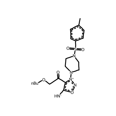 CCCCOCC(=O)c1c([NH-])on[n+]1N1CCN(S(=O)(=O)c2ccc(C)cc2)CC1